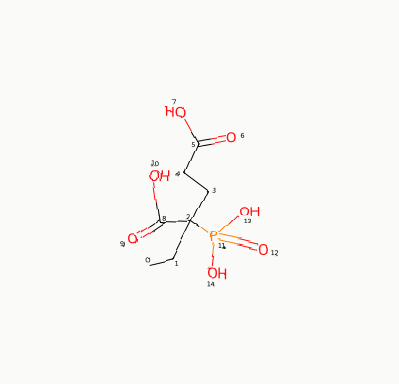 CCC(CCC(=O)O)(C(=O)O)P(=O)(O)O